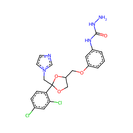 NNC(=O)Nc1cccc(OCC2COC(Cn3ccnc3)(c3ccc(Cl)cc3Cl)O2)c1